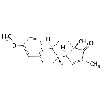 COc1ccc2c(c1)CC[C@@H]1[C@@H]2CC[C@]2(C)C(=O)C(C)=C[C@@H]12